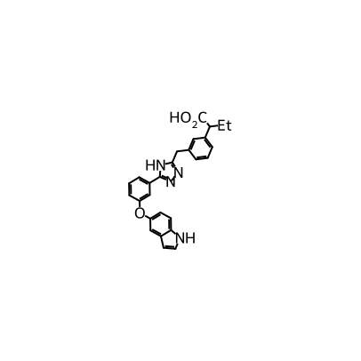 CCC(C(=O)O)c1cccc(Cc2nnc(-c3cccc(Oc4ccc5[nH]ccc5c4)c3)[nH]2)c1